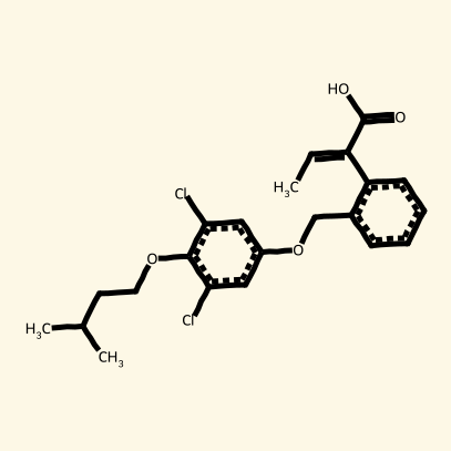 C/C=C(/C(=O)O)c1ccccc1COc1cc(Cl)c(OCCC(C)C)c(Cl)c1